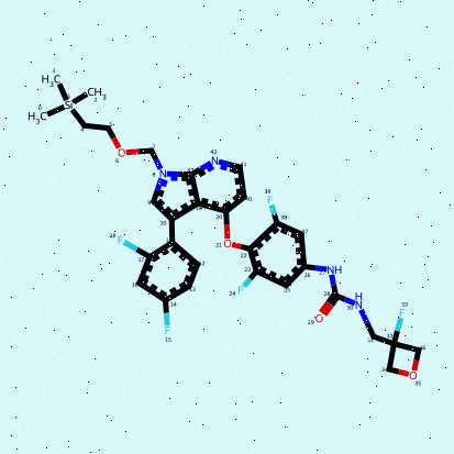 C[Si](C)(C)CCOCn1cc(-c2ccc(F)cc2F)c2c(Oc3c(F)cc(NC(=O)NCC4(F)COC4)cc3F)ccnc21